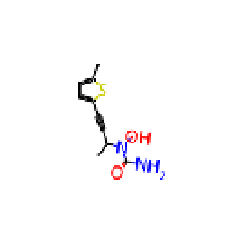 Cc1ccc(C#CC(C)N(O)C(N)=O)s1